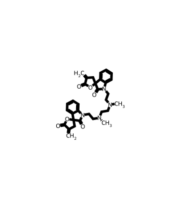 C=C1CC2(OC1=O)C(=O)N(CCN(C)CCN(C)CCN1C(=O)C3(CC(=C)C(=O)O3)c3ccccc31)c1ccccc12